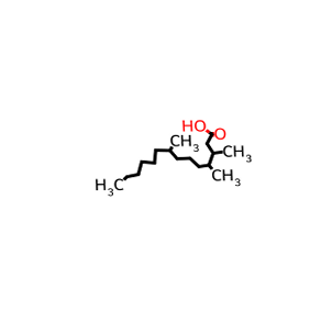 CCCCCCC(C)CCCC(C)C(C)CC(=O)O